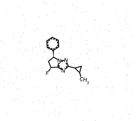 CC1CC1c1nc2n(n1)[C@H](c1ccccc1)C[C@@H]2F